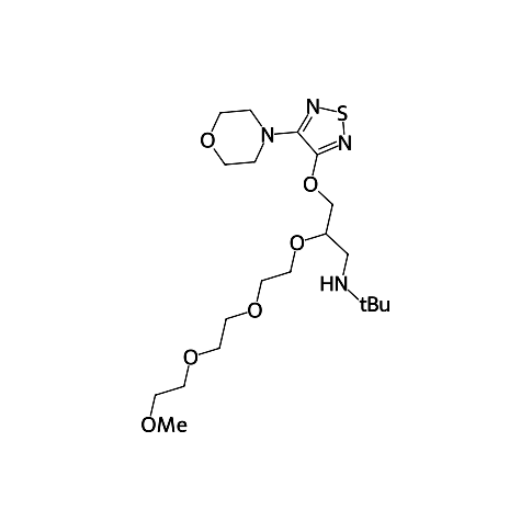 COCCOCCOCCOC(CNC(C)(C)C)COc1nsnc1N1CCOCC1